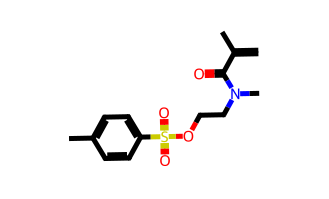 C=C(C)C(=O)N(C)CCOS(=O)(=O)c1ccc(C)cc1